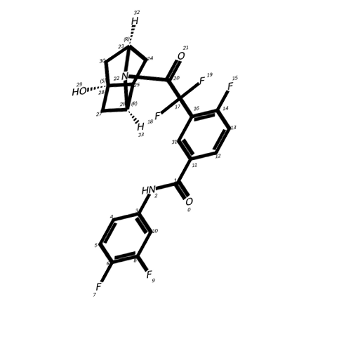 O=C(Nc1ccc(F)c(F)c1)c1ccc(F)c(C(F)(F)C(=O)N2[C@@H]3CC4[C@H]2C[C@@]4(O)C3)c1